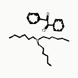 CCCCCCN(CCCCCC)CCCCCC.O=C(C(=O)c1ccccc1)c1ccccc1